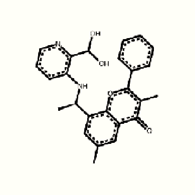 Cc1cc([C@@H](C)Nc2cccnc2C(O)O)c2oc(-c3ccccc3)c(C)c(=O)c2c1